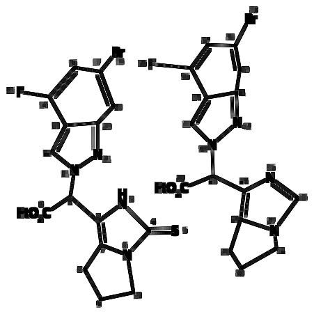 CCOC(=O)C(c1[nH]c(=S)n2c1CCC2)n1cc2c(F)cc(Br)cc2n1.CCOC(=O)C(c1ncn2c1CCC2)n1cc2c(F)cc(Br)cc2n1